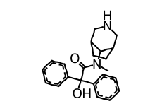 CN(C(=O)C(O)(c1ccccc1)c1ccccc1)C1C2CCC1CNC2